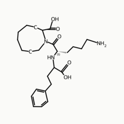 NCCCC[C@H](NC(CCc1ccccc1)C(=O)O)C(=O)N1CCCCCCCC1C(=O)O